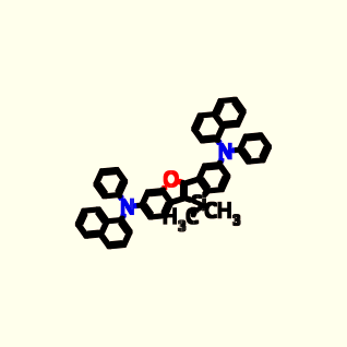 C[Si]1(C)c2ccc(N(c3ccccc3)c3cccc4ccccc34)cc2-c2oc3cc(N(c4ccccc4)c4cccc5ccccc45)ccc3c21